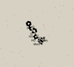 COP(=O)(OC[C@H]1O[C@@H](n2ccc(=O)n(CC(F)(F)c3ccccc3)c2=O)[C@@H](O)C1O)C(C)(C)P(=O)(O)O